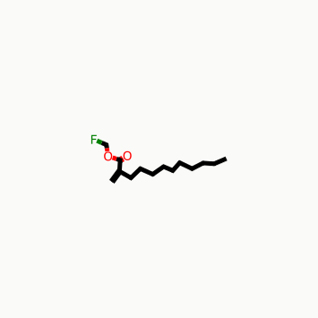 C=C(CCCCCCCCCC)C(=O)OCF